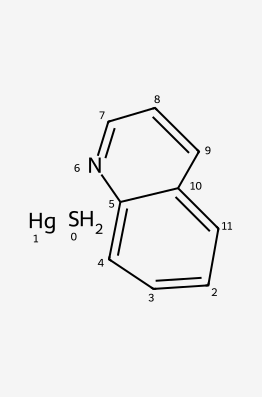 S.[Hg].c1ccc2ncccc2c1